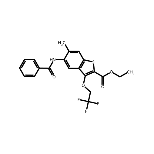 CCOC(=O)c1sc2cc(C)c(NC(=O)c3ccccc3)cc2c1OCC(F)(F)F